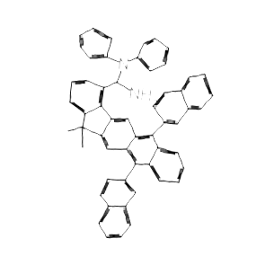 CC1(C)c2cc3c(-c4ccc5ccccc5c4)c4ccccc4c(-c4ccc5ccccc5c4)c3cc2-c2c(C(N)N(c3ccccc3)c3ccccc3)cccc21